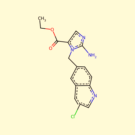 CCOC(=O)c1cnc(N)n1Cc1ccc2ncc(Cl)cc2c1